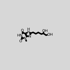 Cn1c(=O)[nH]c(=O)c2[nH]c(CCCCC(O)CO)nc21